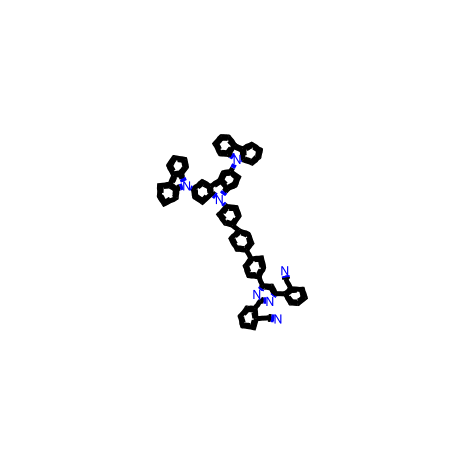 N#Cc1ccccc1-c1cc(-c2ccc(-c3ccc(-c4ccc(-n5c6ccc(-n7c8ccccc8c8ccccc87)cc6c6cc(-n7c8ccccc8c8ccccc87)ccc65)cc4)cc3)cc2)nc(-c2ccccc2C#N)n1